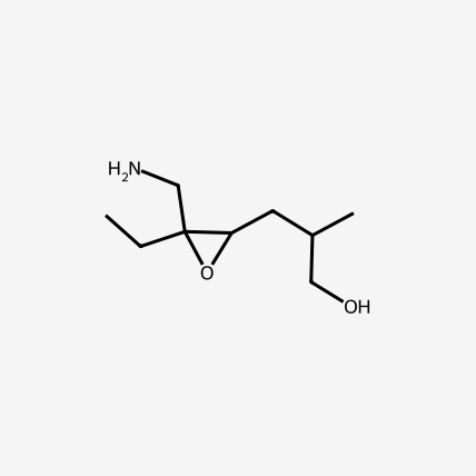 CCC1(CN)OC1CC(C)CO